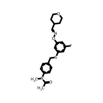 CC(=O)N(C)c1ccc(CSc2cc(F)cc(ON=CC3CCOCC3)c2)cc1